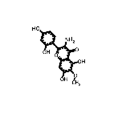 COc1c(O)cc2oc(-c3ccc(O)cc3O)c(N)c(=O)c2c1O